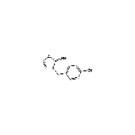 N#Cc1ccc(Cn2ccsc2=N)cc1